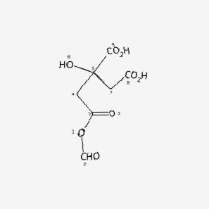 O=COC(=O)CC(O)(CC(=O)O)C(=O)O